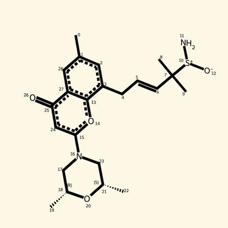 Cc1cc(CC=CC(C)(C)[S+](N)[O-])c2oc(N3C[C@@H](C)O[C@@H](C)C3)cc(=O)c2c1